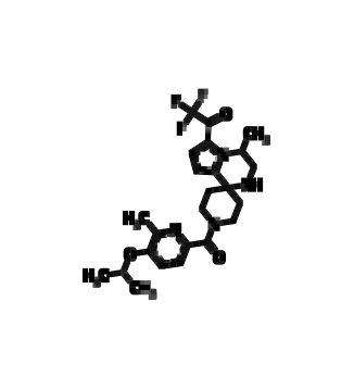 Cc1nc(C(=O)N2CCC3(CC2)NCC(C)n2c(C(=O)C(F)(F)F)ccc23)ccc1OC(C)C